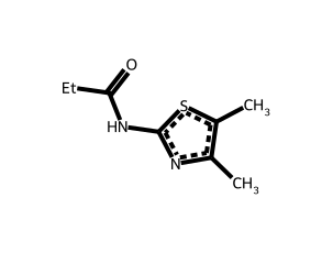 CCC(=O)Nc1nc(C)c(C)s1